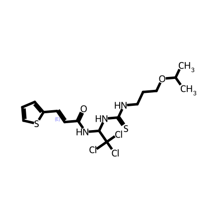 CC(C)OCCCNC(=S)NC(NC(=O)/C=C/c1cccs1)C(Cl)(Cl)Cl